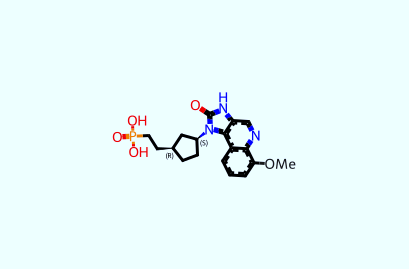 COc1cccc2c1ncc1[nH]c(=O)n([C@H]3CC[C@@H](CCP(=O)(O)O)C3)c12